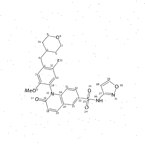 COc1cc(CC2CCOCC2)c(F)cc1-n1c(=O)ccc2cc(S(=O)(=O)Nc3ccon3)ccc21